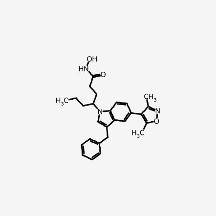 CCCC(CCC(=O)NO)n1cc(Cc2ccccc2)c2cc(-c3c(C)noc3C)ccc21